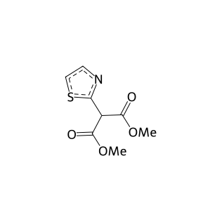 COC(=O)C(C(=O)OC)c1nccs1